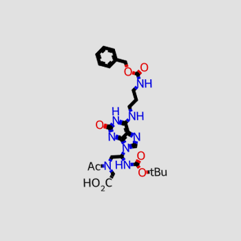 CC(=O)N(CC(=O)O)CC(NC(=O)OC(C)(C)C)n1cnc2c(NCCCNC(=O)OCc3ccccc3)[nH]c(=O)nc21